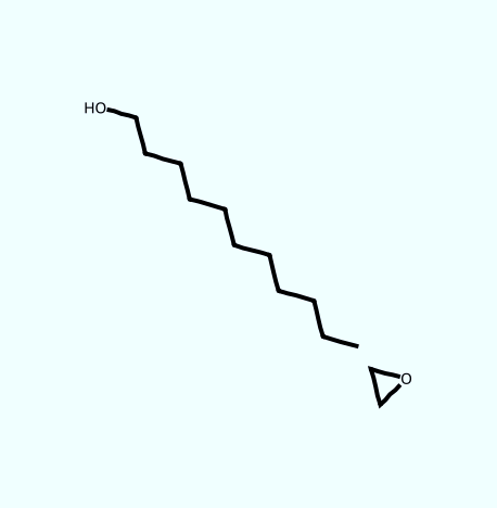 C1CO1.CCCCCCCCCCCO